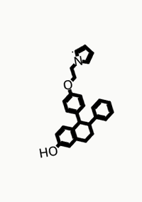 Oc1ccc2c(c1)CCC(c1ccccc1)C2c1ccc(OCCn2[c]ccc2)cc1